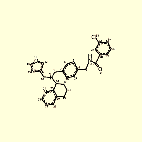 O=C(NCc1ccc(CN(Cc2cocn2)C2CCCc3cccnc32)cc1)c1ccnc(Cl)c1